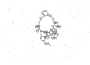 CCC(C)[C@@H]1NCCOc2ccccc2/C=C/CNC(=O)[C@@H](Cc2ccc(C)cc2)NC(=O)[C@H](C(C)(C)O)N(C)C1=O